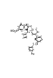 CC(=O)c1cc(COc2cccc(C3CCN(Cc4nc5ccc(C(=O)O)cc5n4C[C@@H]4CCO4)CC3)n2)cs1